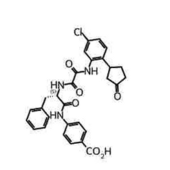 O=C1CCC(c2ccc(Cl)cc2NC(=O)C(=O)N[C@@H](Cc2ccccc2)C(=O)Nc2ccc(C(=O)O)cc2)C1